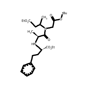 CCOC(=O)CC(C)N(CC(=O)OC(C)(C)C)C(=O)[C@H](C)N[C@@H](CCc1ccccc1)C(=O)OCC